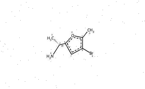 Cc1oc([C@@H](C)N)cc1Br